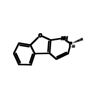 C[P@]1C=Cc2c(oc3ccccc23)N1